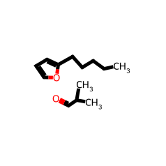 CC(C)C=O.CCCCCc1ccco1